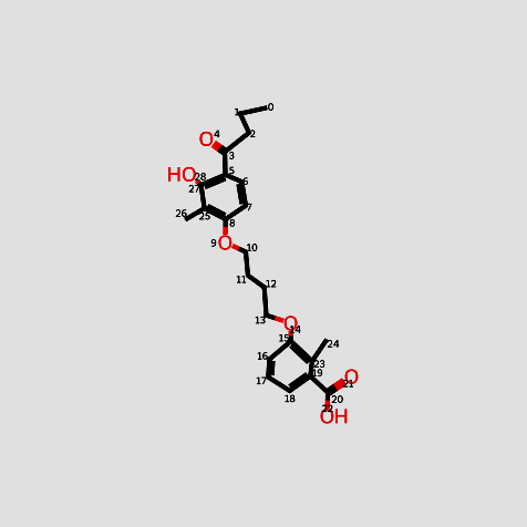 CCCC(=O)c1ccc(OCCCCOc2cccc(C(=O)O)c2C)c(C)c1O